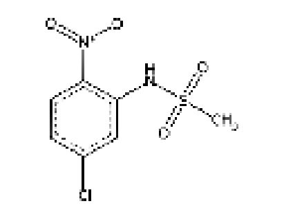 CS(=O)(=O)Nc1cc(Cl)ccc1[N+](=O)[O-]